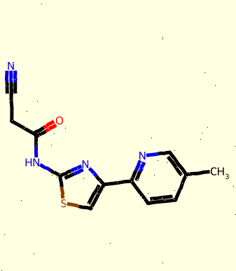 Cc1ccc(-c2csc(NC(=O)CC#N)n2)nc1